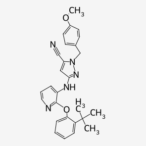 COc1ccc(Cn2nc(Nc3cccnc3Oc3ccccc3C(C)(C)C)cc2C#N)cc1